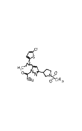 CN(c1ccc(Cl)s1)c1cc(C2CCN(S(C)(=O)=O)C2)nn1C(=O)C(C)(C)C